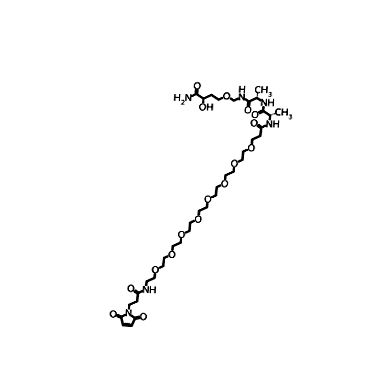 C[C@H](NC(=O)CCOCCOCCOCCOCCOCCOCCOCCOCCNC(=O)CCN1C(=O)C=CC1=O)C(=O)N[C@@H](C)C(=O)NCOCC[C@@H](O)C(N)=O